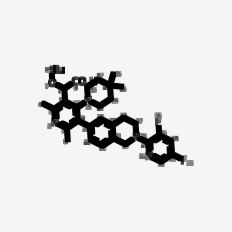 Cc1nc(C)c(C(OC(C)(C)C)C(=O)O)c(N2CCC(C)(C)CC2)c1-c1ccc2c(c1)CCN(c1ncc(F)cc1F)C2